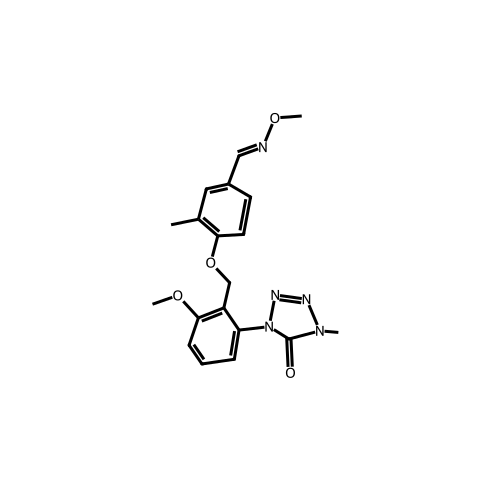 CON=Cc1ccc(OCc2c(OC)cccc2-n2nnn(C)c2=O)c(C)c1